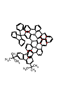 CC(C)(C)c1ccc2c(c1)c1cc(C(C)(C)C)ccc1n2-c1ccc2c(c1)N(c1c(-c3ccccc3)cccc1-c1ccccc1)c1cc(-c3ccccc3)cc3c1B2c1cc2c(cc1N3c1c(-c3ccccc3)cccc1-c1ccccc1)-c1ccccc1C21c2ccccc2-c2ccccc21